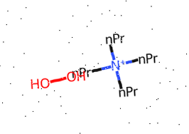 CCC[N+](CCC)(CCC)CCC.OO